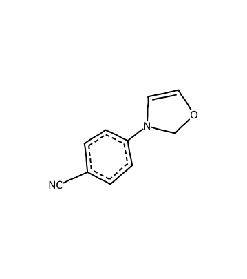 N#Cc1ccc(N2C=COC2)cc1